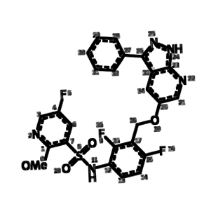 COc1ncc(F)cc1S(=O)(=O)Nc1ccc(F)c(COc2cnc3[nH]nc(-c4ccccc4)c3c2)c1F